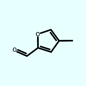 Cc1coc(C=O)c1